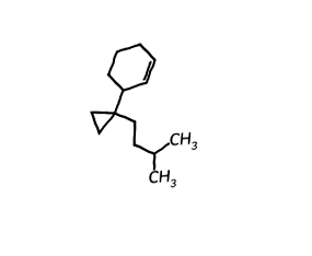 CC(C)CCC1(C2C=CCCC2)CC1